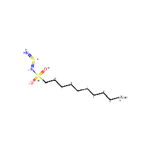 CCCCCCCCCCCCCCCCCCS(=O)(=O)N=S=N